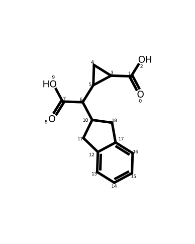 O=C(O)C1CC1C(C(=O)O)C1Cc2ccccc2C1